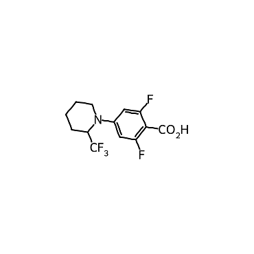 O=C(O)c1c(F)cc(N2CCCCC2C(F)(F)F)cc1F